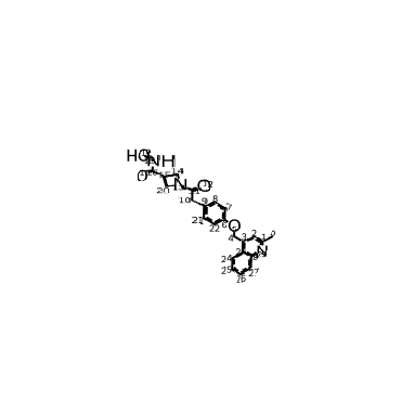 Cc1cc(COc2ccc(CC(=O)N3CC(C(=O)NO)C3)cc2)c2ccccc2n1